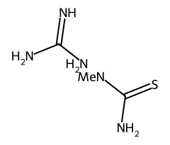 CNC(N)=S.N=C(N)N